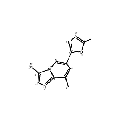 Cc1nnc(-c2cc(C)c3ncc(Br)n3c2)o1